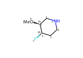 CO[C@H]1CNCC[C@H]1F